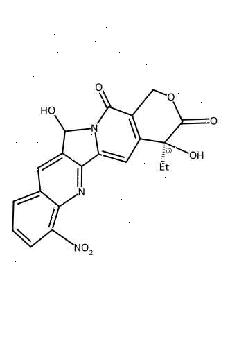 CC[C@@]1(O)C(=O)OCc2c1cc1n(c2=O)C(O)c2cc3cccc([N+](=O)[O-])c3nc2-1